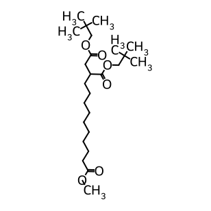 COC(=O)CCCCCCCCCC(CC(=O)OCC(C)(C)C)C(=O)OCC(C)(C)C